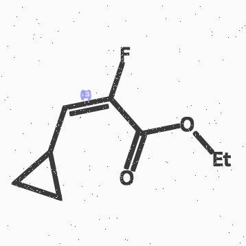 CCOC(=O)/C(F)=C\C1CC1